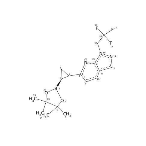 CC1(C)OB([C@H]2CC2c2ccc3cnn(CC(F)(F)F)c3n2)OC1(C)C